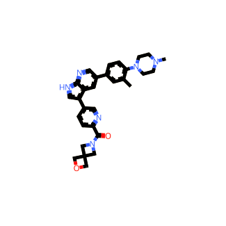 Cc1cc(-c2cnc3[nH]cc(-c4ccc(C(=O)N5CC6(COC6)C5)nc4)c3c2)ccc1N1CCN(C)CC1